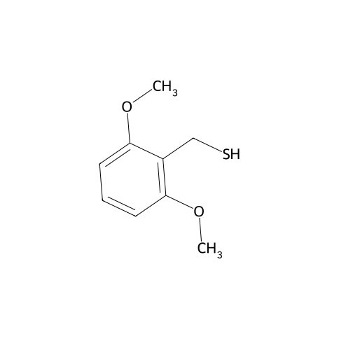 COc1cccc(OC)c1CS